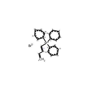 C=C/C=C/[P+](c1ccccc1)(c1ccccc1)c1ccccc1.[Br-]